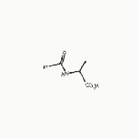 CC(C)C(=O)NC(C)C(=O)O